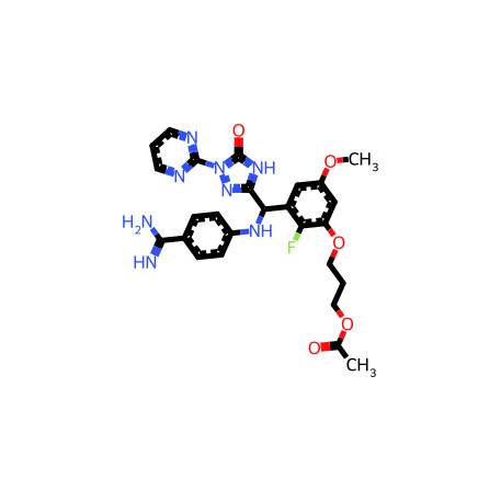 COc1cc(OCCCOC(C)=O)c(F)c(C(Nc2ccc(C(=N)N)cc2)c2nn(-c3ncccn3)c(=O)[nH]2)c1